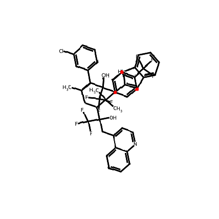 CC(CC(C(C)(C)c1ccc(C(F)(F)F)cc1)C(O)(Cc1ccnc2ccccc12)C(F)(F)F)C(c1cccc(Cl)c1)C(O)(Cc1cc2ccccc2[nH]1)C(F)(F)F